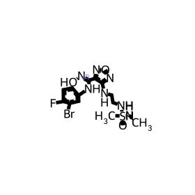 CN[SH](C)(=O)NCCNc1nonc1/C(=N/O)Nc1ccc(F)c(Br)c1